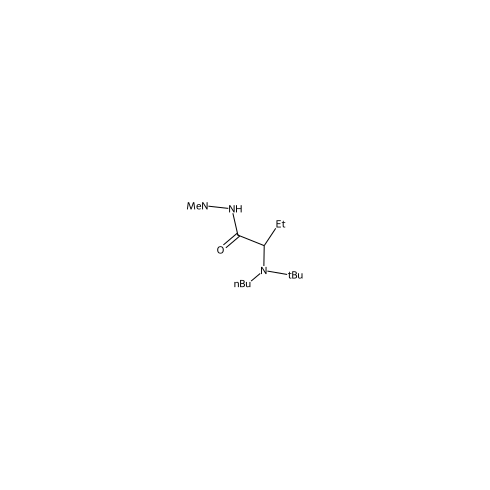 CCCCN(C(CC)C(=O)NNC)C(C)(C)C